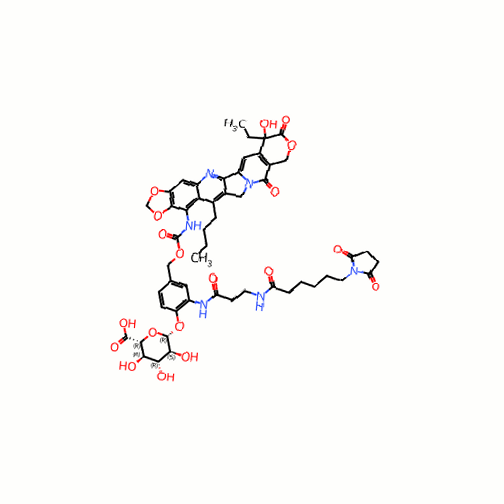 CCCCc1c2c(nc3cc4c(c(NC(=O)OCc5ccc(O[C@H]6O[C@@H](C(=O)O)[C@H](O)[C@@H](O)[C@@H]6O)c(NC(=O)CCNC(=O)CCCCCN6C(=O)CCC6=O)c5)c13)OCO4)-c1cc3c(c(=O)n1C2)COC(=O)C3(O)CC